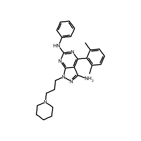 Cc1cccc(C)c1-c1nc(Nc2ccccc2)nc2c1c(N)nn2CCCN1CCCCC1